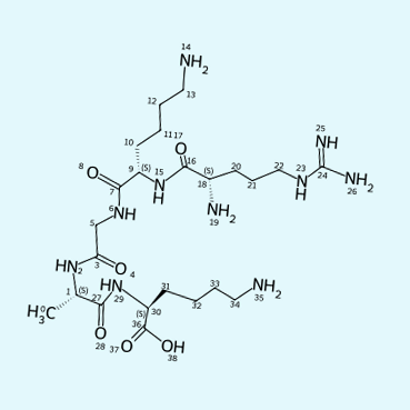 C[C@H](NC(=O)CNC(=O)[C@H](CCCCN)NC(=O)[C@@H](N)CCCNC(=N)N)C(=O)N[C@@H](CCCCN)C(=O)O